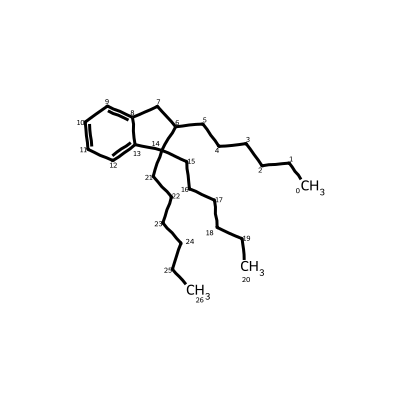 CCCCCCC1Cc2ccccc2C1(CCCCCC)CCCCCC